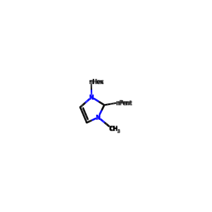 CCCCCCN1C=CN(C)C1CCCCC